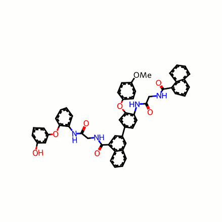 COc1ccc(Oc2cc(-c3cc(C(=O)NCC(=O)Nc4ccccc4Oc4cccc(O)c4)c4ccccc4c3)ccc2NC(=O)CNC(=O)c2cccc3ccccc23)cc1